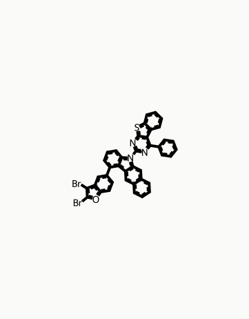 Brc1oc2ccc(-c3cccc4c3c3cc5ccccc5cc3n4-c3nc(-c4ccccc4)c4c(n3)sc3ccccc34)cc2c1Br